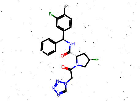 CC(C)c1ccc([C@@H](NC(=O)[C@@H]2C[C@@H](F)CN2C(=O)Cn2cnnn2)c2ccccc2)cc1F